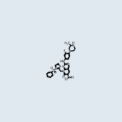 CCN(CC)c1cc2cnc(Nc3ccc(N4CCNC(C)C4)c(F)c3)nc2n(Cc2nccn2S(=O)(=O)c2ccccc2)c1=O